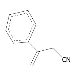 C=C(CC#N)c1ccccc1